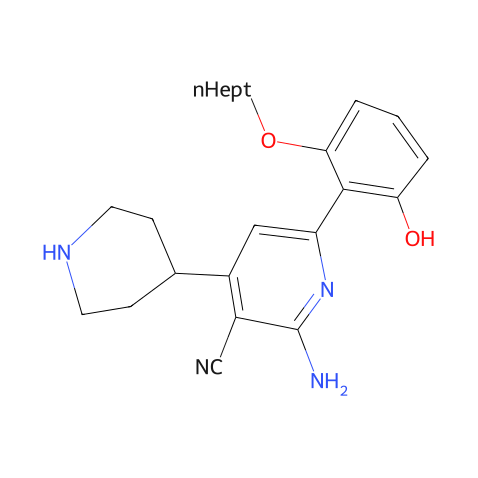 CCCCCCCOc1cccc(O)c1-c1cc(C2CCNCC2)c(C#N)c(N)n1